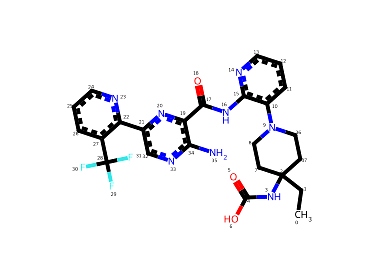 CCC1(NC(=O)O)CCN(c2cccnc2NC(=O)c2nc(-c3ncccc3C(F)(F)F)cnc2N)CC1